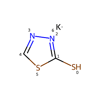 Sc1nncs1.[K]